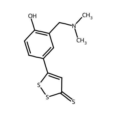 CN(C)Cc1cc(-c2cc(=S)ss2)ccc1O